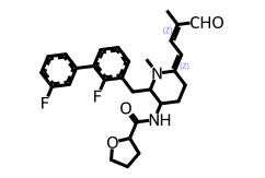 C/C(C=O)=C/C=C1/CCC(NC(=O)C2CCCO2)C(Cc2cccc(-c3cccc(F)c3)c2F)N1C